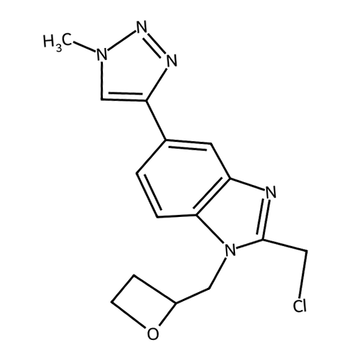 Cn1cc(-c2ccc3c(c2)nc(CCl)n3CC2CCO2)nn1